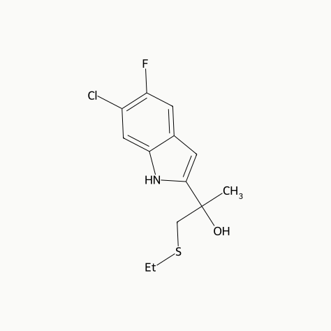 CCSCC(C)(O)c1cc2cc(F)c(Cl)cc2[nH]1